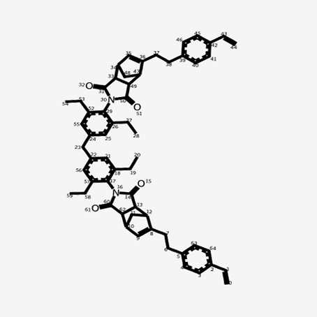 C=Cc1ccc(CCC2=CC3CC2C2C(=O)N(c4c(CC)cc(Cc5cc(CC)c(N6C(=O)C7C8C=C(CCc9ccc(C=C)cc9)C(C8)C7C6=O)c(CC)c5)cc4CC)C(=O)C32)cc1